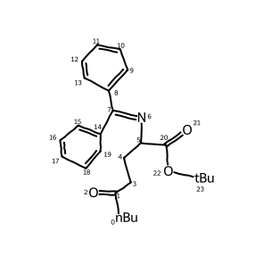 CCCCC(=O)CCC(N=C(c1ccccc1)c1ccccc1)C(=O)OC(C)(C)C